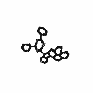 c1ccc(-c2nc(-c3ccccc3)nc(-n3c4cnccc4c4c5ccc6cccc7ccc(cc43)c5c76)n2)cc1